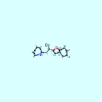 CCC(Cc1ccccn1)c1cc2ccccc2o1